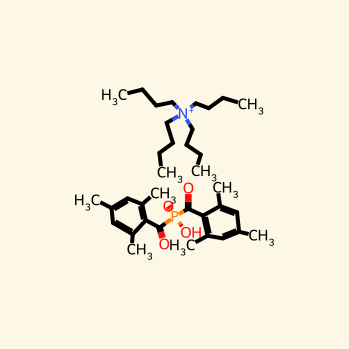 CCCC[N+](CCCC)(CCCC)CCCC.Cc1cc(C)c(C(=O)P(=O)(O)C(=O)c2c(C)cc(C)cc2C)c(C)c1